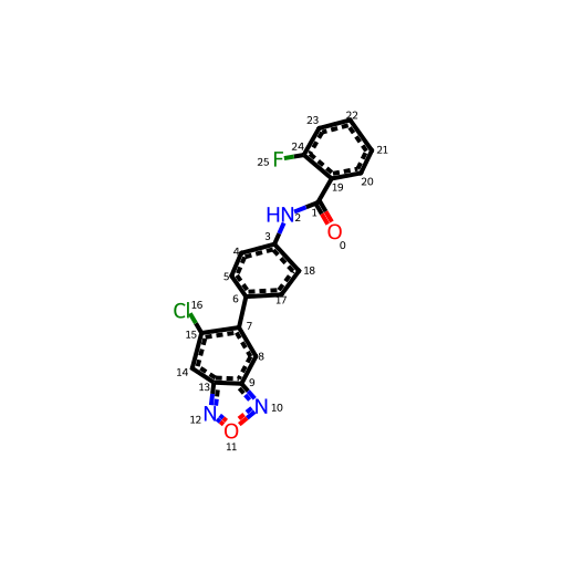 O=C(Nc1ccc(-c2cc3nonc3cc2Cl)cc1)c1ccccc1F